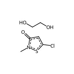 Cn1sc(Cl)cc1=O.OCCO